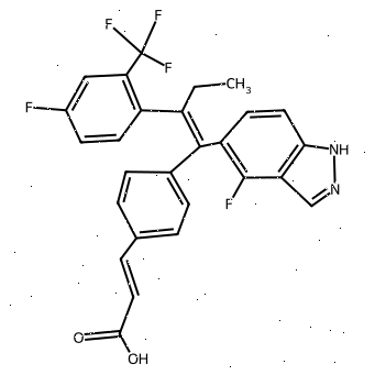 CC/C(=C(/c1ccc(/C=C/C(=O)O)cc1)c1ccc2[nH]ncc2c1F)c1ccc(F)cc1C(F)(F)F